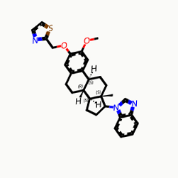 COc1cc2c(cc1OCc1nccs1)CC[C@@H]1[C@@H]2CC[C@]2(C)C(n3cnc4ccccc43)CC[C@@H]12